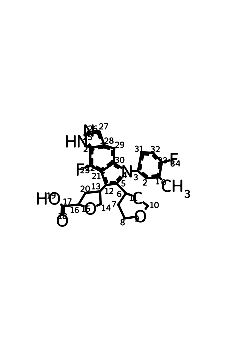 Cc1cc(-n2c(C3CCOCC3)c(C3COC(C(=O)O)C3)c3c(F)c4[nH]ncc4cc32)ccc1F